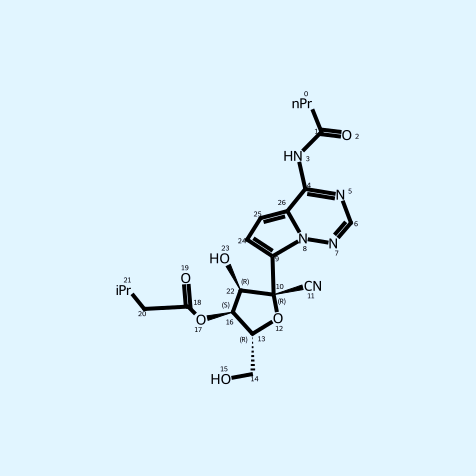 CCCC(=O)Nc1ncnn2c([C@]3(C#N)O[C@H](CO)[C@@H](OC(=O)CC(C)C)[C@H]3O)ccc12